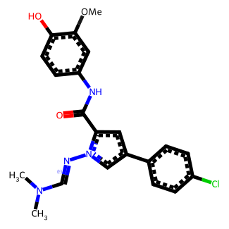 COc1cc(NC(=O)c2cc(-c3ccc(Cl)cc3)cn2/N=C/N(C)C)ccc1O